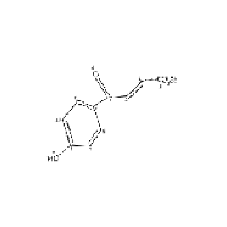 CCOC(=O)/C=C/C(=O)c1ccc(O)cc1